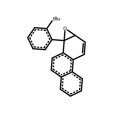 CC(C)(C)c1ccccc1C12OC1C=Cc1c2ccc2ccccc12